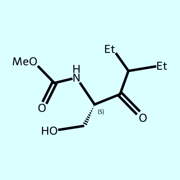 CCC(CC)C(=O)[C@H](CO)NC(=O)OC